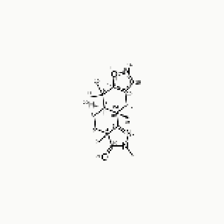 CN1N=C2C(C)(CC[C@H]3C(C)(C)c4oncc4C[C@]23C)C1=O